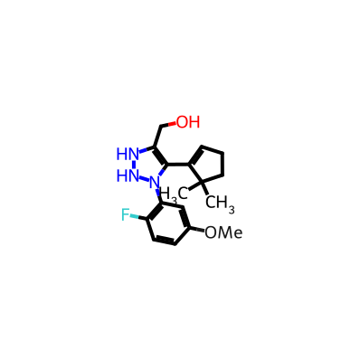 COc1ccc(F)c(N2NNC(CO)=C2C2=CCCC2(C)C)c1